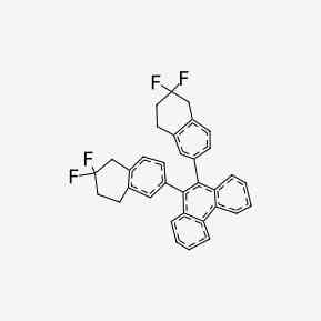 FC1(F)CCc2cc(-c3c(-c4ccc5c(c4)CCC(F)(F)C5)c4ccccc4c4ccccc34)ccc2C1